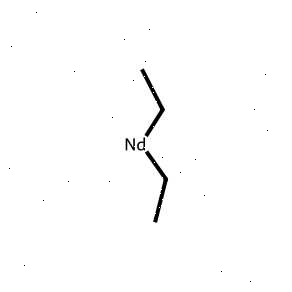 C[CH2][Nd][CH2]C